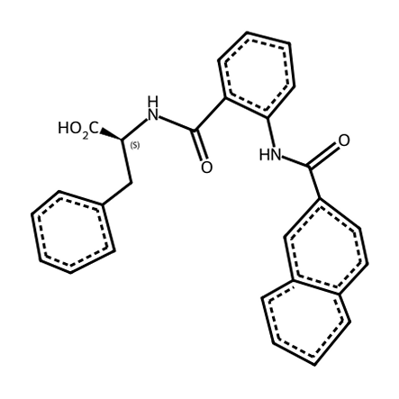 O=C(Nc1ccccc1C(=O)N[C@@H](Cc1ccccc1)C(=O)O)c1ccc2ccccc2c1